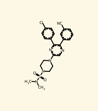 CN(C)S(=O)(=O)N1CCN(c2cnc(-c3cccc(C#N)c3)c(-c3ccc(Cl)cc3)n2)CC1